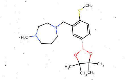 CSc1ccc(B2OC(C)(C)C(C)(C)O2)cc1CN1CCCN(C)CC1